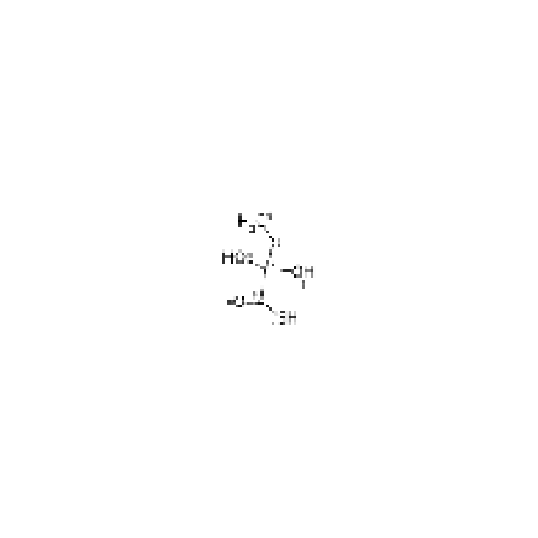 CCC(O)(O)C(=O)S